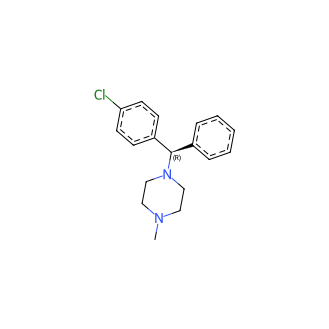 CN1CCN([C@H](c2ccccc2)c2ccc(Cl)cc2)CC1